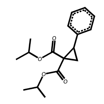 CC(C)OC(=O)C1(C(=O)OC(C)C)CC1c1ccccc1